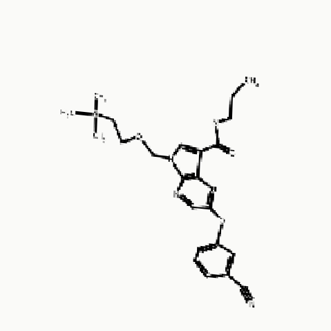 CCCNC(=O)c1cn(COCC[Si](C)(C)C)c2ncc(Oc3cccc(C#N)c3)nc12